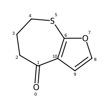 O=C1CCCSc2occc21